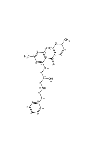 Cc1ccc(C(=O)c2c(C)cc(C)cc2OCC(O)CNCCc2ccccc2)cc1